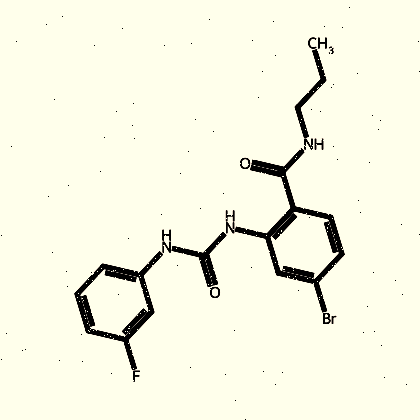 CCCNC(=O)c1ccc(Br)cc1NC(=O)Nc1cccc(F)c1